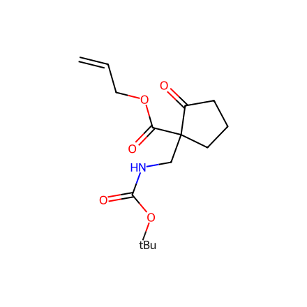 C=CCOC(=O)C1(CNC(=O)OC(C)(C)C)CCCC1=O